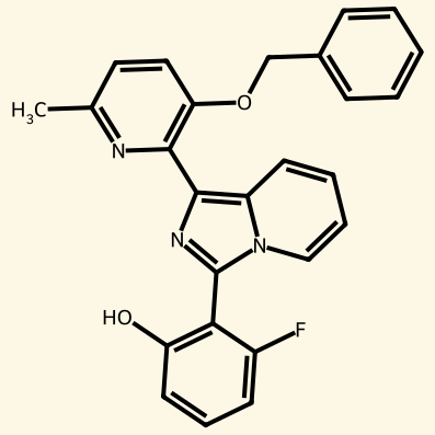 Cc1ccc(OCc2ccccc2)c(-c2nc(-c3c(O)cccc3F)n3ccccc23)n1